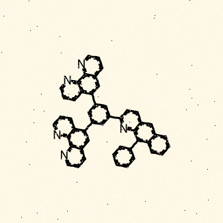 c1ccc(-c2c3ccccc3cc3ccc(-c4cc(-c5cc6cccnc6c6ncccc56)cc(-c5cc6cccnc6c6ncccc56)c4)nc23)cc1